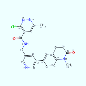 Cc1cc(C(=O)NCc2cncc(-c3ccc4c(c3)CCC(=O)N4C)c2)c(Cl)nn1